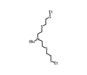 CCSCCSCCN(CCSCCSCC)C(C)(C)C